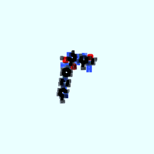 COc1nccc(Nc2cnc3c(c2C)NCCO3)c1C(=O)Nc1ccc(N2CCN(c3ccc(C)nc3)CC2)cc1